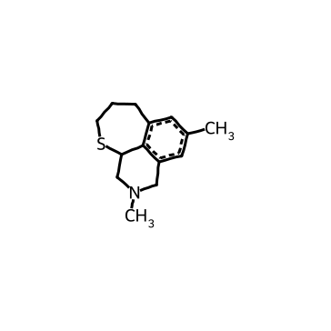 Cc1cc2c3c(c1)CN(C)CC3SCCC2